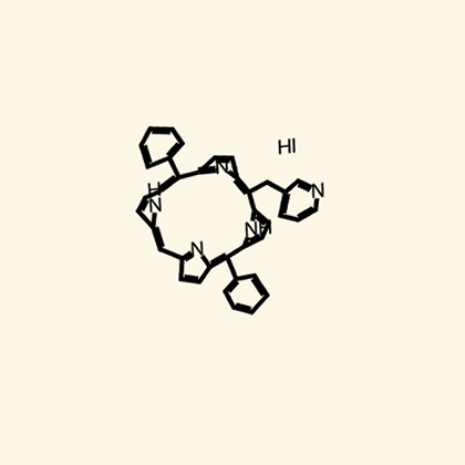 C1=Cc2nc1cc1ccc([nH]1)c(-c1ccccc1)c1nc(c(Cc3cccnc3)c3ccc([nH]3)c2-c2ccccc2)C=C1.I